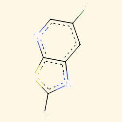 CC(C)c1nc2cc(Cl)cnc2s1